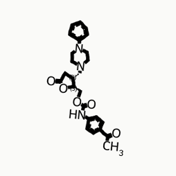 CC(=O)c1ccc(NC(=O)OC[C@H]2OC(=O)C[C@@H]2CN2CCN(c3ccccc3)CC2)cc1